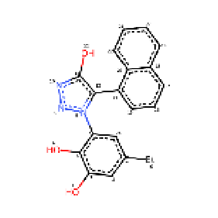 CCc1cc(O)c(O)c(-n2nnc(O)c2-c2cccc3ccccc23)c1